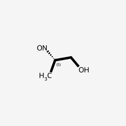 C[C@@H](CO)N=O